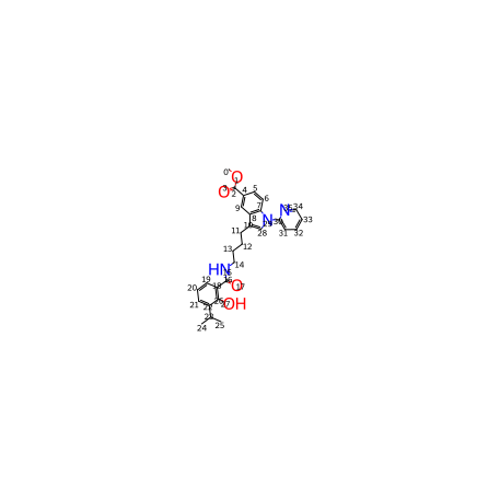 COC(=O)c1ccc2c(c1)c(CCCCNC(=O)c1cccc(C(C)C)c1O)cn2-c1ccccn1